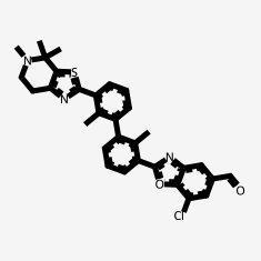 Cc1c(-c2nc3cc(C=O)cc(Cl)c3o2)cccc1-c1cccc(-c2nc3c(s2)C(C)(C)N(C)CC3)c1C